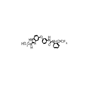 O=C(O)Nc1nc2cc(Oc3cccc(NC(=O)Nc4ccccc4OC(F)(F)F)c3)ccc2[nH]1